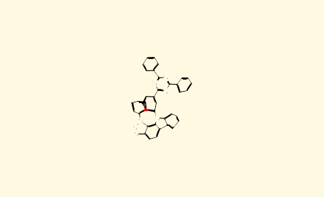 c1ccc(-c2nc(-c3ccccc3)nc(-c3cccc(-n4c5ccccc5c5ccc6nnn(-c7ccccc7)c6c54)c3)n2)cc1